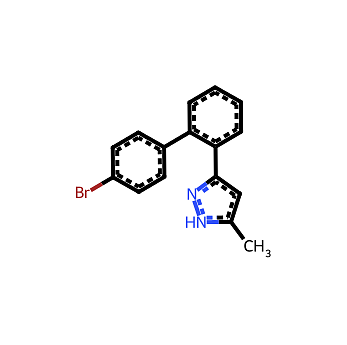 Cc1cc(-c2ccccc2-c2ccc(Br)cc2)n[nH]1